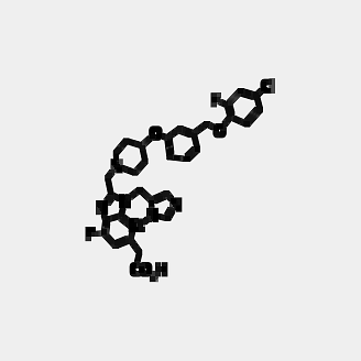 CCn1cncc1Cn1c(CN2CCC(Oc3cccc(COc4ccc(Cl)cc4F)c3)CC2)nc2c(F)cc(CC(=O)O)cc21